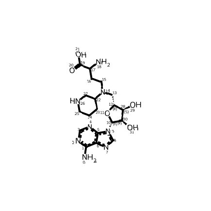 Nc1ncnc2c1ncn2[C@@H]1O[C@H](CN(CCC(N)C(=O)O)C2CCCNC2)[C@@H](O)[C@H]1O